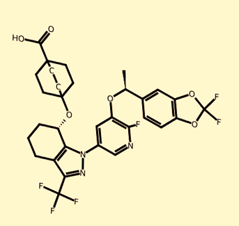 C[C@H](Oc1cc(-n2nc(C(F)(F)F)c3c2[C@@H](OC24CCC(C(=O)O)(CC2)CC4)CCC3)cnc1F)c1ccc2c(c1)OC(F)(F)O2